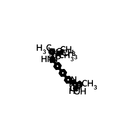 CC1CC(c2nc3cc(-c4ccc(-c5ccc(-c6c[nH]c([C@@H]7C[C@H](C)CN7C(=O)OC(C)(C)C)n6)cc5)cc4)ccc3[nH]2)N(C(=O)O)C1